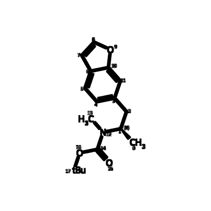 C[C@H](Cc1ccc2ccoc2c1)N(C)C(=O)OC(C)(C)C